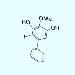 COc1c(O)cc(-c2ccccc2)c(I)c1O